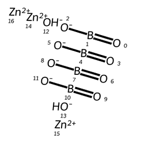 O=B[O-].O=B[O-].O=B[O-].O=B[O-].[OH-].[OH-].[Zn+2].[Zn+2].[Zn+2]